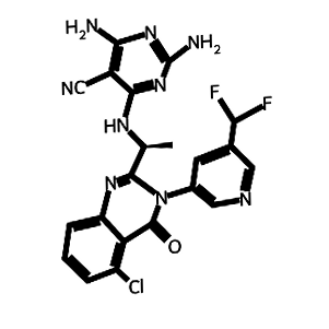 C[C@H](Nc1nc(N)nc(N)c1C#N)c1nc2cccc(Cl)c2c(=O)n1-c1cncc(C(F)F)c1